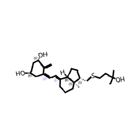 C=C1/C(=C\C=C2/CCC[C@]3(C)[C@@H](CSCCC(C)(C)O)CC[C@@H]23)C[C@@H](O)C[C@@H]1O